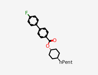 CCCCC[C@H]1CC[C@H](OC(=O)c2ccc(-c3ccc(F)cc3)cc2)CC1